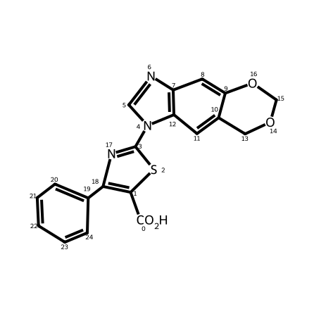 O=C(O)c1sc(-n2cnc3cc4c(cc32)COCO4)nc1-c1ccccc1